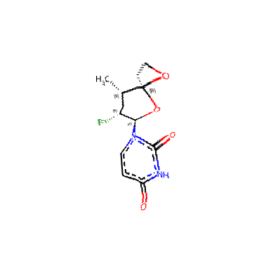 C[C@H]1[C@@H](F)[C@H](n2ccc(=O)[nH]c2=O)O[C@@]12CO2